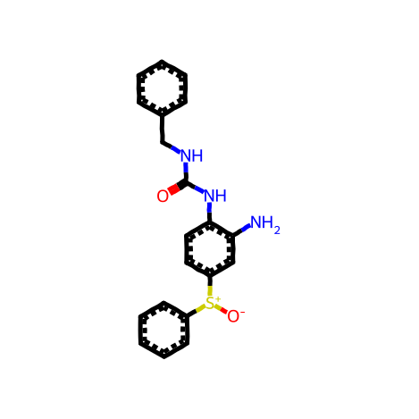 Nc1cc([S+]([O-])c2ccccc2)ccc1NC(=O)NCc1ccccc1